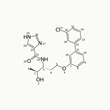 C[C@H](O)[C@@H](CCOc1cccc(-c2cccc(Cl)c2)c1)NC(=O)c1c[nH]cn1